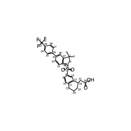 CC1(C)CN(S(=O)(=O)c2ccc3c(c2)C(CC(=O)O)CCC3)c2ccc(-c3ccc(C(F)(F)F)cc3)cc21